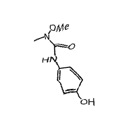 CON(C)C(=O)Nc1ccc(O)cc1